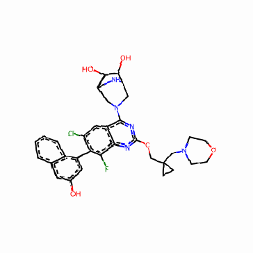 Oc1cc(-c2c(Cl)cc3c(N4CC5NC(C4)C(O)C5O)nc(OCC4(CN5CCOCC5)CC4)nc3c2F)c2ccccc2c1